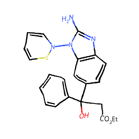 CCOC(=O)CC(O)(c1ccccc1)c1ccc2nc(N)n(N3C=CC=CS3)c2c1